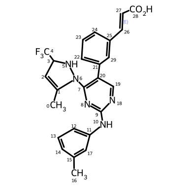 CC1=CC(C(F)(F)F)NN1c1nc(Nc2cccc(C)c2)ncc1-c1cccc(/C=C/C(=O)O)c1